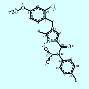 CCCCOc1ccc(Cn2cc(C(=O)N(c3ccc(C)cc3)[SH](=O)=O)nc2C)c(Cl)c1